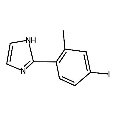 Cc1cc(I)ccc1-c1ncc[nH]1